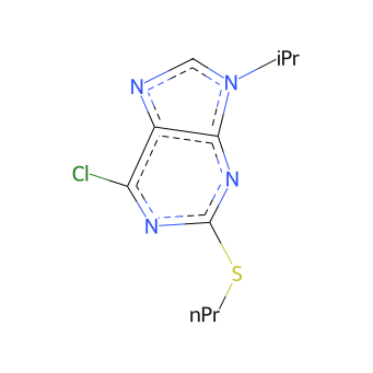 CCCSc1nc(Cl)c2ncn(C(C)C)c2n1